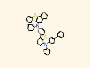 C1=Cc2c(sc3c2CC(N(c2ccccc2)c2cc4ccccc4c4sc5ccccc5c24)C=C3)C(N(c2ccccc2)c2ccc(-c3ccccc3)cc2)C1